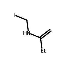 C=C(CC)NCI